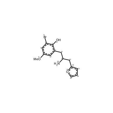 COc1cc(Br)c(O)c(CC(N)Cc2ccco2)c1